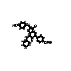 COc1ccc(-c2cn3c(=O)c(Cc4ccc(O)cc4)nc-3c(Cc3ccccc3)[nH]2)cc1